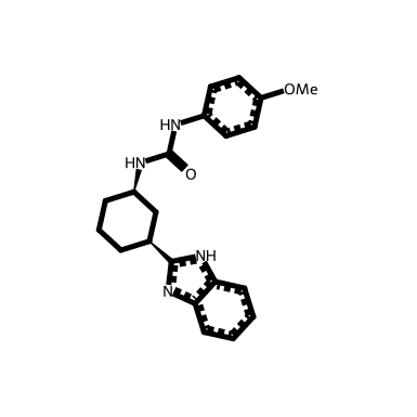 COc1ccc(NC(=O)N[C@@H]2CCC[C@H](c3nc4ccccc4[nH]3)C2)cc1